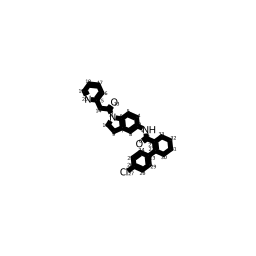 O=C(Nc1ccc2c(c1)CCN2C(=O)Cc1ccccn1)C1=C(c2ccc(Cl)cc2)CCCC1